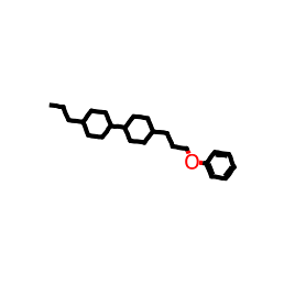 CCCC1CCC(C2CCC(CCCOc3ccccc3)CC2)CC1